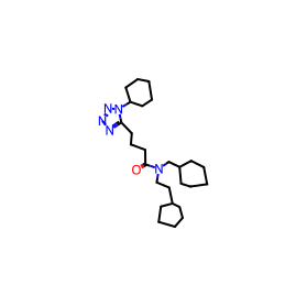 O=C(CCCc1nnnn1C1CCCCC1)N(CCC1CCCCC1)CC1CCCCC1